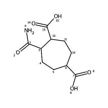 NC(=O)C1CCC(C(=O)O)CCC1C(=O)O